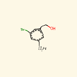 O=C(O)c1cc(Br)cc(CO)c1